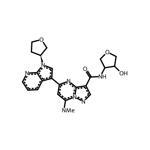 CNc1cc(-c2cn([C@H]3CCOC3)c3ncccc23)nc2c(C(=O)NC3COCC3O)cnn12